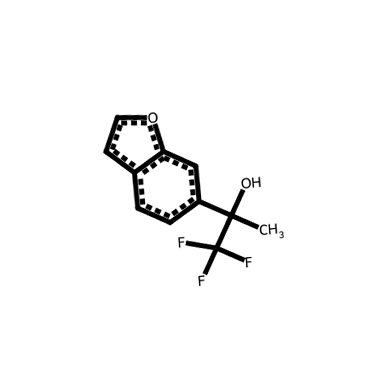 CC(O)(c1ccc2ccoc2c1)C(F)(F)F